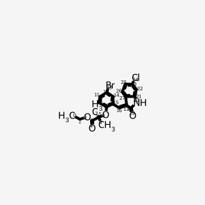 CCOC(=O)C(C)(C)Oc1ccc(Br)cc1/C=C1/C(=O)Nc2cc(Cl)ccc21